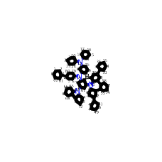 c1ccc(-c2ccc(N3c4cc(N(c5ccccc5)c5ccccc5)ccc4B4c5cc(-c6ccccc6)cc6c5N(c5ccc(-c7ccccc7)cc5-c5ccccc5-6)c5cc(-n6c7ccccc7c7ccccc76)cc3c54)cc2)cc1